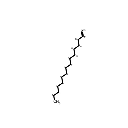 CCCCCCCCCCCCCCC=S